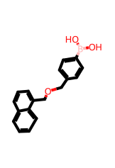 OB(O)c1ccc(COCc2cccc3ccccc23)cc1